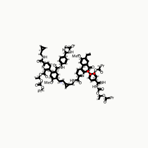 C=Cc1cc(C(=O)Nc2ccc(C(=N)NC(=O)OC(C)OC(=O)C(C)C)cc2)c(-c2ccc(C(=O)NCC3CC3/C=C/c3cc(C(=O)Nc4ccc(-c5noc(=O)[nH]5)cc4)c(-c4ccc(C(=O)NCC5CC5)nc4C(=O)OC(C)OC(=O)OC(C)C)cc3OC)nc2C(=O)OC(C)OC(=O)C(C)C)cc1OC